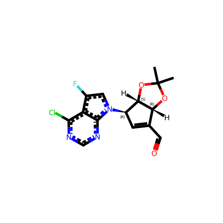 CC1(C)O[C@@H]2[C@H](O1)C(C=O)=C[C@H]2n1cc(F)c2c(Cl)ncnc21